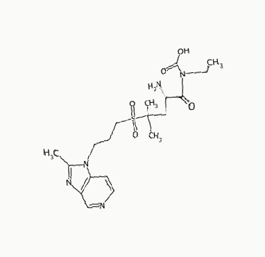 CCN(C(=O)O)C(=O)[C@@H](N)CC(C)(C)S(=O)(=O)CCCn1c(C)nc2cnccc21